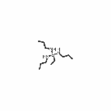 CCCN[Si](CC)(NCCC)NCCC